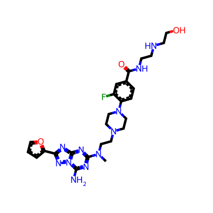 CN(CCN1CCN(c2ccc(C(=O)NCCNCCO)cc2F)CC1)c1nc(N)n2nc(-c3ccco3)nc2n1